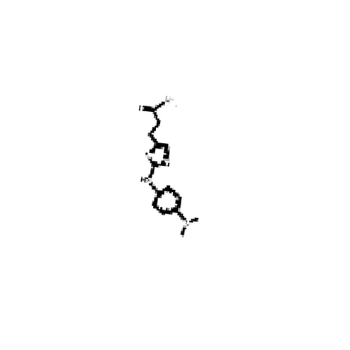 CN(C)c1ccc(Nc2nc(CCC(N)=O)cs2)cc1